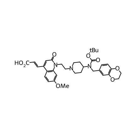 COc1ccc2c(C=CC(=O)O)cc(=O)n(CCN3CCC(N(Cc4ccc5c(c4)OCCO5)C(=O)OC(C)(C)C)CC3)c2c1